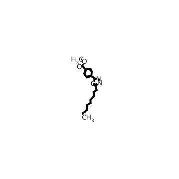 CCCCCCCCCc1nnc(-c2ccc(C(=O)OC)cc2)o1